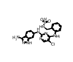 Nc1n[nH]c2cc(Nc3ncc(Cl)c(Nc4ccccc4CN[SH](=O)=O)n3)ccc12